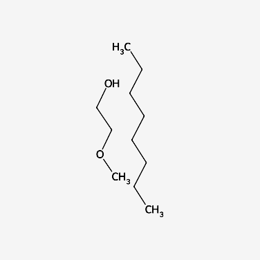 CCCCCCCC.COCCO